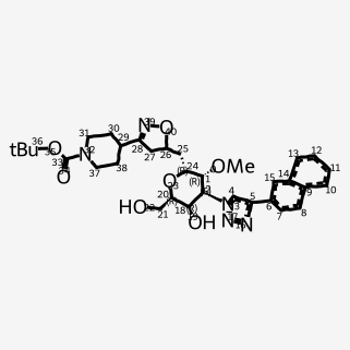 CO[C@@H]1[C@@H](n2cc(-c3ccc4ccccc4c3)nn2)[C@@H](O)[C@@H](CO)O[C@@H]1CC1CC(C2CCN(C(=O)OC(C)(C)C)CC2)=NO1